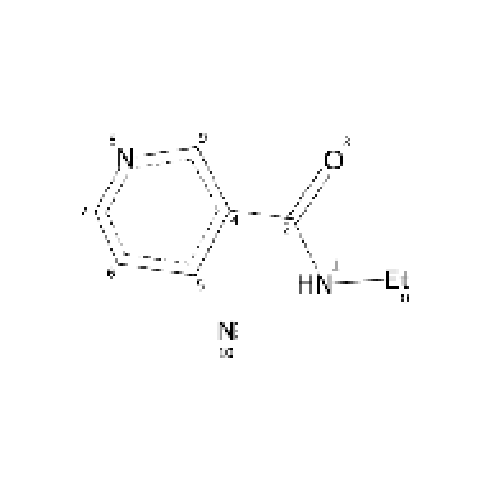 CCNC(=O)c1cccnc1.[N]